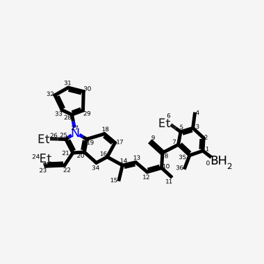 Bc1cc(C)c(CC)c(C(=C)/C(C)=C\C=C(/C)C2C=Cc3c(c(/C=C\CC)c(CC)n3-c3ccccc3)C2)c1C